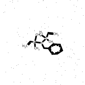 C=C[Si](C)(C)N(Cc1ccccc1)S(C)(C)C=C